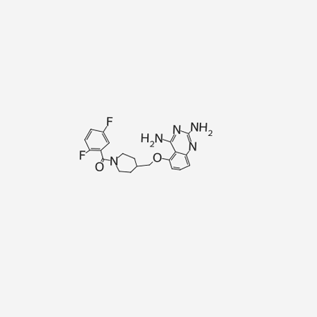 Nc1nc(N)c2c(OCC3CCN(C(=O)c4cc(F)ccc4F)CC3)cccc2n1